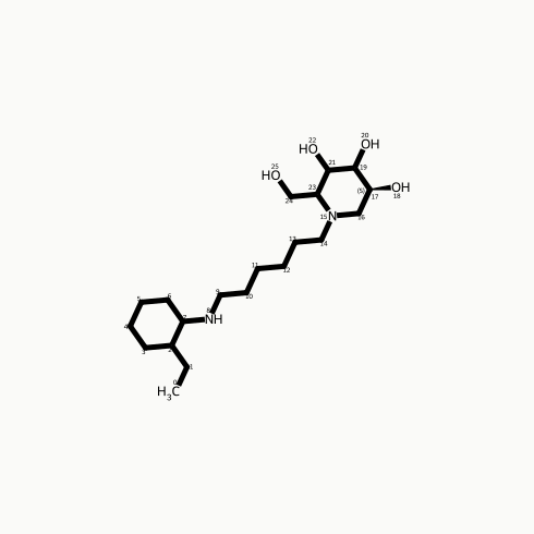 CCC1CCCCC1NCCCCCCN1C[C@H](O)C(O)C(O)C1CO